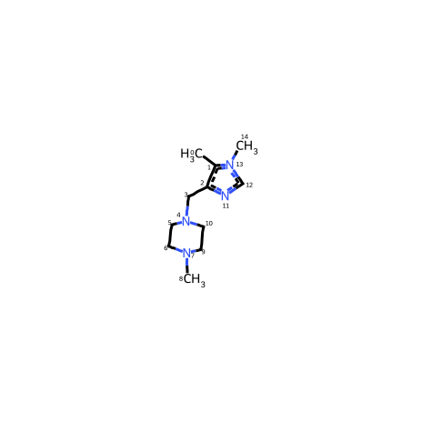 Cc1c(CN2CCN(C)CC2)ncn1C